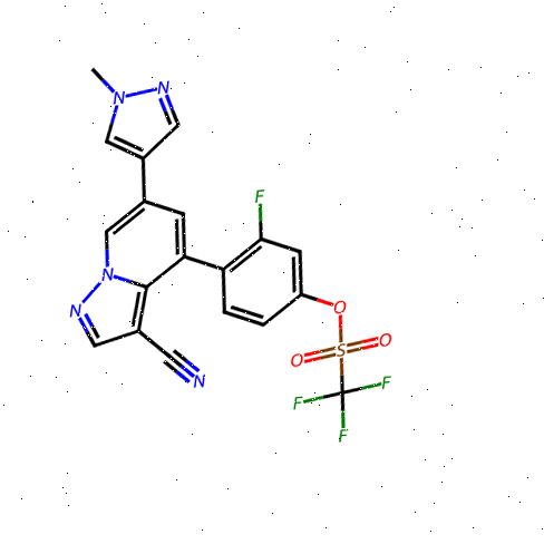 Cn1cc(-c2cc(-c3ccc(OS(=O)(=O)C(F)(F)F)cc3F)c3c(C#N)cnn3c2)cn1